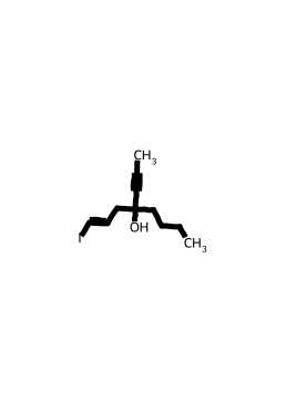 CC#CC(O)(CC=CI)CCCC